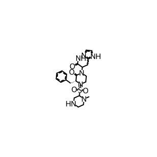 CN1CCNCC1S(=O)(=O)N1CCN(C(Cc2ncc[nH]2)C(N)=O)C(=O)[C@H]1Cc1ccccc1